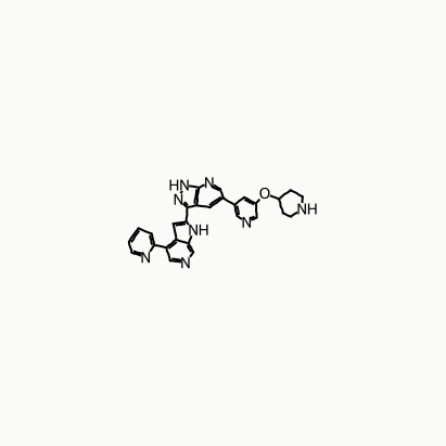 c1ccc(-c2cncc3[nH]c(-c4n[nH]c5ncc(-c6cncc(OC7CCNCC7)c6)cc45)cc23)nc1